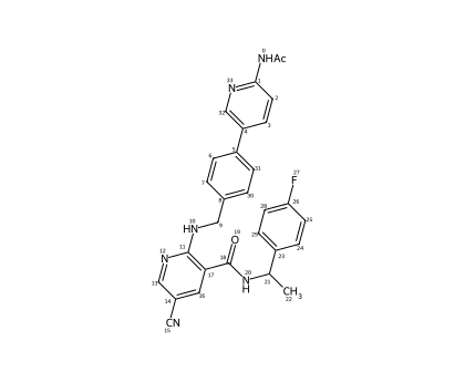 CC(=O)Nc1ccc(-c2ccc(CNc3ncc(C#N)cc3C(=O)NC(C)c3ccc(F)cc3)cc2)cn1